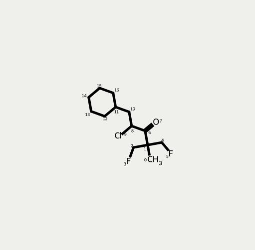 CC(CF)(CF)C(=O)C(Cl)CC1CCCCC1